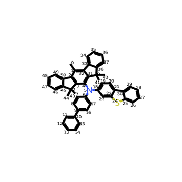 Cc1c2c(c(N(c3ccc(-c4ccccc4)cc3)c3ccc4c(c3)sc3ccccc34)c3c1-c1ccccc1C3(C)C)C(C)(C)c1ccccc1-2